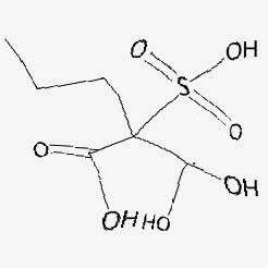 CCCC([C](O)O)(C(=O)O)S(=O)(=O)O